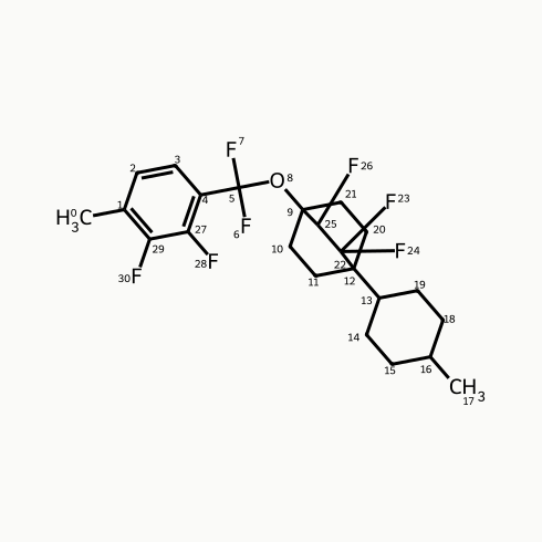 Cc1ccc(C(F)(F)OC23CCC(C4CCC(C)CC4)(CC2)C(F)(F)C3F)c(F)c1F